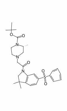 C[C@@H]1CN(CC(=O)N2CC(C)(C)c3ccc(S(=O)(=O)c4ccccc4)cc32)CCN1C(=O)OC(C)(C)C